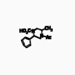 CC(=O)N1CC(c2ccccc2)N(C(=O)O)CC1C